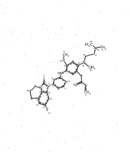 C=CC(=O)Cc1cc(Nc2nccc(-n3c(=O)n4c5c(cc(F)cc53)CCC4)n2)c(OC)cc1N(C)CCN(C)C